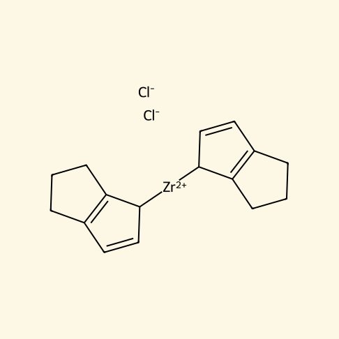 C1=C[CH]([Zr+2][CH]2C=CC3=C2CCC3)C2=C1CCC2.[Cl-].[Cl-]